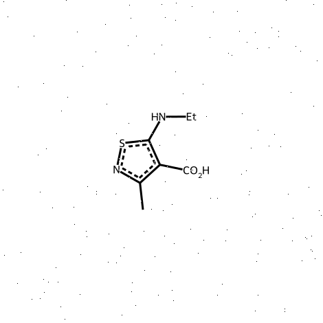 CCNc1snc(C)c1C(=O)O